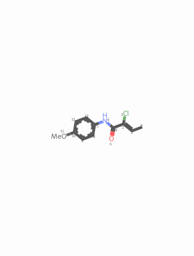 CC=C(Cl)C(=O)Nc1ccc(OC)cc1